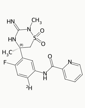 [2H]c1cc(F)c([C@]2(C)CS(=O)(=O)N(C)C(=N)N2)cc1NC(=O)c1ccccn1